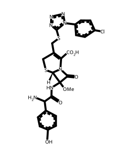 COC1(NC(=O)C(N)c2ccc(O)cc2)C(=O)N2C(C(=O)O)=C(CSc3nnnn3-c3ccc(Cl)cc3)CS[C@H]21